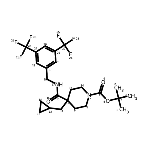 CC(C)(C)OC(=O)N1CCC(CC2CC2)(C(=O)NCc2cc(C(F)(F)F)cc(C(F)(F)F)c2)CC1